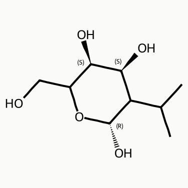 CC(C)C1[C@H](O)OC(CO)[C@@H](O)[C@H]1O